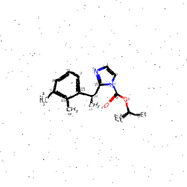 CCC(CC)OC(=O)n1ccnc1[C@@H](C)c1cccc(C)c1C